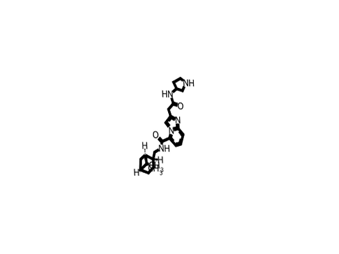 CC1(C)[C@@H]2CC[C@@H](CNC(=O)c3cccc4nc(CC(=O)NC5CCNC5)cn34)[C@@H]1C2